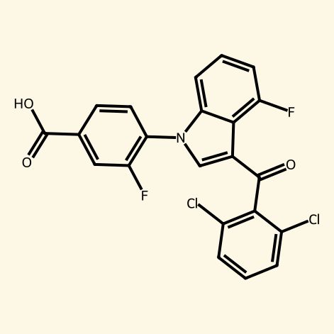 O=C(O)c1ccc(-n2cc(C(=O)c3c(Cl)cccc3Cl)c3c(F)cccc32)c(F)c1